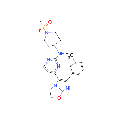 CS(=O)(=O)N1CCC(Nc2nccc(C3=C(C4=CC=CC(C(F)(F)F)C4)NC4OCCN34)n2)CC1